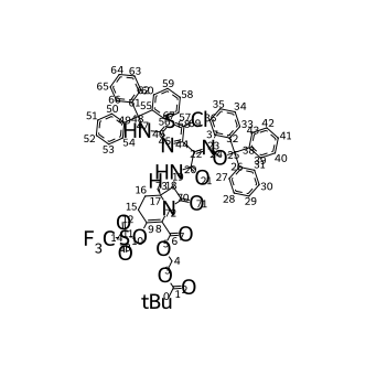 CC(C)(C)C(=O)OCOC(=O)C1=C(OS(=O)(=O)C(F)(F)F)CC[C@@H]2[C@H](NC(=O)/C(=N\OC(c3ccccc3)(c3ccccc3)c3ccccc3)c3nc(NC(c4ccccc4)(c4ccccc4)c4ccccc4)sc3Cl)C(=O)N12